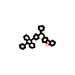 C1=CCC2C(=C1)C(c1ccccc1)=C1C=CC=CC1C2c1ccc(-c2c(-c3ccc4oc5ccccc5c4c3)sc3ccccc23)cc1